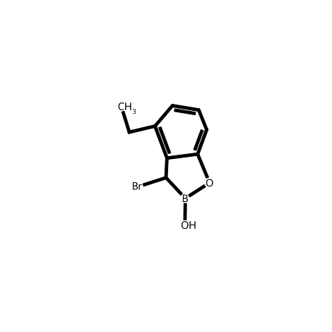 CCc1cccc2c1C(Br)B(O)O2